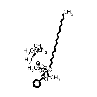 CCCCCCCCCCCCCCCCCCOC(C(C)OCc1ccccc1)S(=O)(=O)OS(C)(=O)=O.CCC[N+](C)(C)C